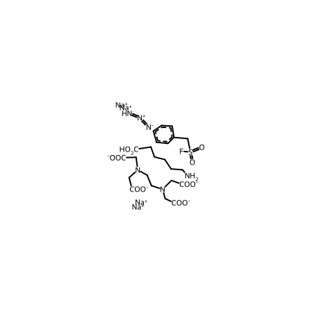 NCCCCCC(=O)O.O=C([O-])CN(CCN(CC(=O)[O-])CC(=O)[O-])CC(=O)[O-].O=S(=O)(F)Cc1ccccc1.[N-]=[N+]=N.[Na+].[Na+].[Na+].[Na+]